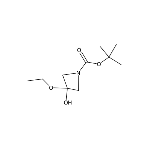 CCOC1(O)CN(C(=O)OC(C)(C)C)C1